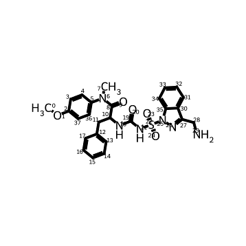 COc1ccc(N(C)C(=O)C(Cc2ccccc2)NC(=O)NS(=O)(=O)n2nc(CN)c3ccccc32)cc1